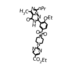 CCCc1nc(C)c2c(=O)[nH]c(-c3cc(S(=O)(=O)N4CCN(c5ncc(C(=O)OCC)cn5)CC4)ccc3OCC)nn12